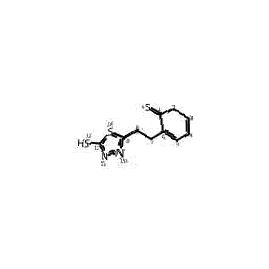 S=C1CC=CC=C1C[CH]c1nnc(S)s1